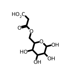 O=C(O)CC(=O)OCC1OC(O)C(O)C(O)C1O